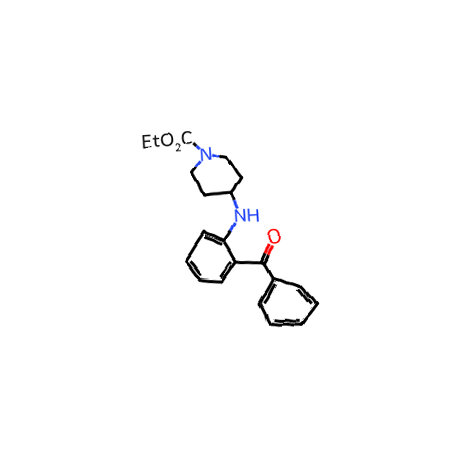 CCOC(=O)N1CCC(Nc2ccccc2C(=O)c2ccccc2)CC1